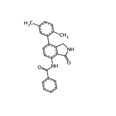 Cc1ccc(C)c(-c2ccc(NC(=O)c3ccccc3)c3c2CNC3=O)c1